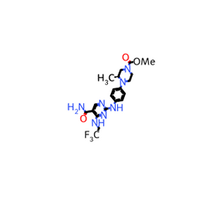 COC(=O)N1CCN(c2ccc(Nc3ncc(C(N)=O)c(NCC(F)(F)F)n3)cc2)[C@@H](C)C1